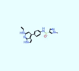 C=CNc1cc(-c2ccc(N[S+]([O-])c3cnn(C)c3)cc2)c2cc[nH]c2n1